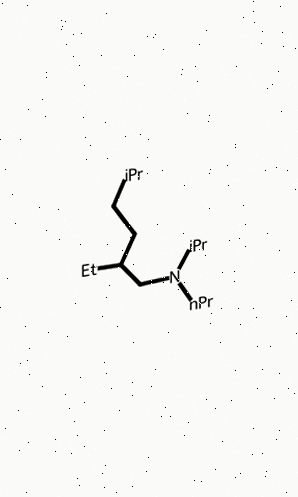 CCCN(CC(CC)CCC(C)C)C(C)C